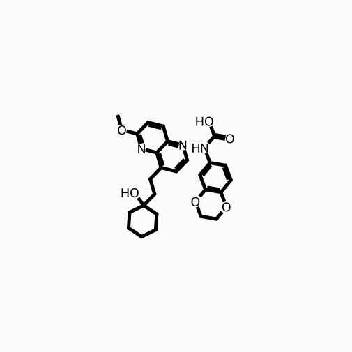 COc1ccc2nccc(CCC3(O)CCCCC3)c2n1.O=C(O)Nc1ccc2c(c1)OCCO2